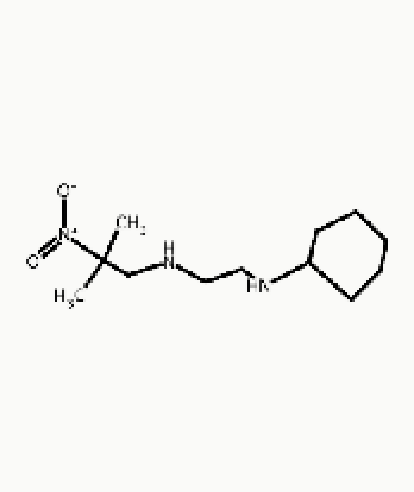 CC(C)(CNCCNC1CCCCC1)[N+](=O)[O-]